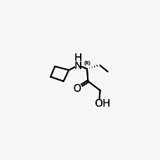 CC[C@@H](NC1CCC1)C(=O)CO